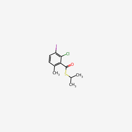 Cc1ccc(I)c(Cl)c1C(=O)SC(C)C